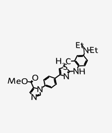 CCN(CC)c1ccc(Nc2nc(-c3ccc(-n4cncc4C(=O)OC)cc3)cs2)c(C)c1